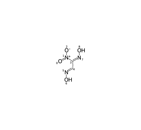 O=[N+]([O-])C(C=NO)=NO